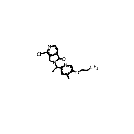 Cc1cc(C(C)N2Cc3c(ccnc3Cl)C2=O)ncc1OCCC(F)(F)F